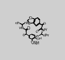 CCCC(CCC)NC(=O)C(=O)c1ccc(O)c(OC)c1.CCCC(CCC)NC(=O)C(=O)c1ccc2c(c1)OCO2